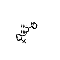 CC(C)(C)c1ccccc1CNCC(O)c1ccccn1